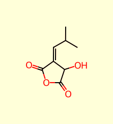 CC(C)C=C1C(=O)OC(=O)C1O